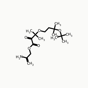 C=C(N)COC(=O)C(=O)C(C)(C)OCCC(C)(C)OC(C)(C)C